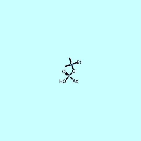 CC[Si](C)(C)OP(=O)(O)C(C)=O